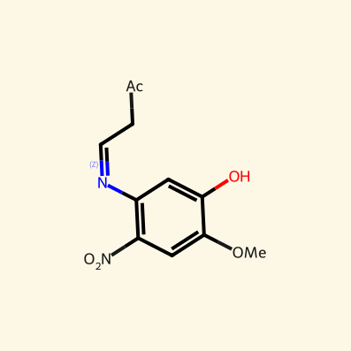 COc1cc([N+](=O)[O-])c(/N=C\CC(C)=O)cc1O